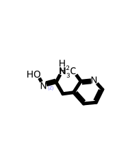 Cc1ncccc1C/C(N)=N/O